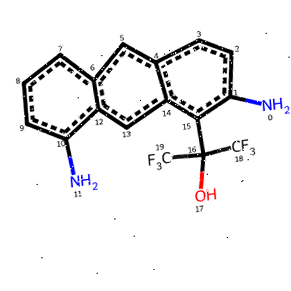 Nc1ccc2cc3cccc(N)c3cc2c1C(O)(C(F)(F)F)C(F)(F)F